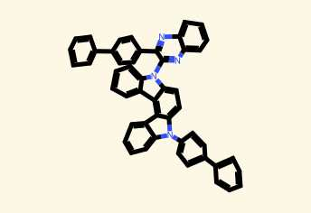 c1ccc(-c2ccc(-c3nc4ccccc4nc3-n3c4ccccc4c4c5c6ccccc6n(-c6ccc(-c7ccccc7)cc6)c5ccc43)cc2)cc1